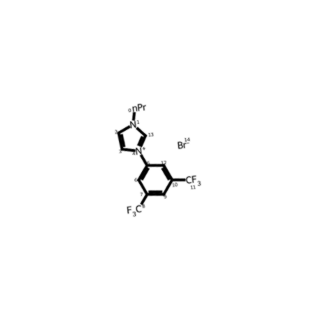 CCCn1cc[n+](-c2cc(C(F)(F)F)cc(C(F)(F)F)c2)c1.[Br-]